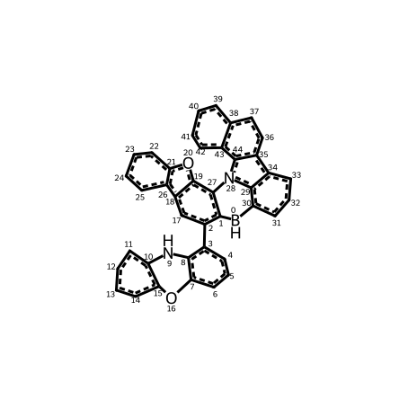 B1c2c(-c3cccc4c3Nc3ccccc3O4)cc3c(oc4ccccc43)c2-n2c3c1cccc3c1ccc3ccccc3c12